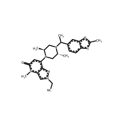 Cc1nc2cc(C(C)N3C[C@H](C)N(c4cc(=O)n(C)c5cn(CC#N)nc45)C[C@H]3C)ccc2s1